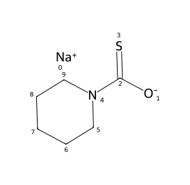 [Na+].[O-]C(=S)N1CCCCC1